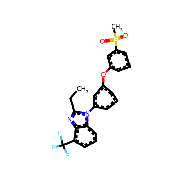 CCc1nc2c(C(F)(F)F)cccc2n1-c1cccc(Oc2cccc(S(C)(=O)=O)c2)c1